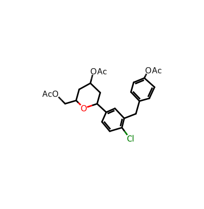 CC(=O)OCC1CC(OC(C)=O)CC(c2ccc(Cl)c(Cc3ccc(OC(C)=O)cc3)c2)O1